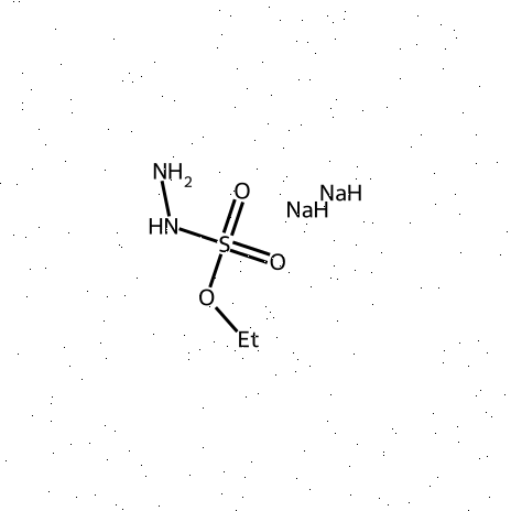 CCOS(=O)(=O)NN.[NaH].[NaH]